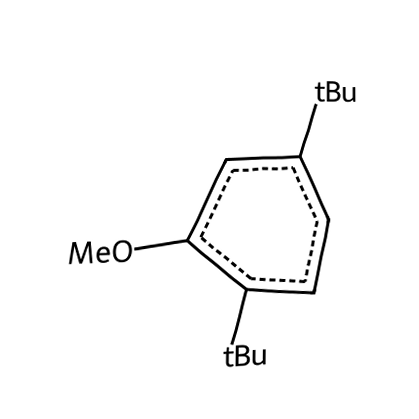 COc1cc(C(C)(C)C)ccc1C(C)(C)C